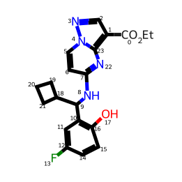 CCOC(=O)c1cnn2ccc(NC(c3cc(F)ccc3O)C3CCC3)nc12